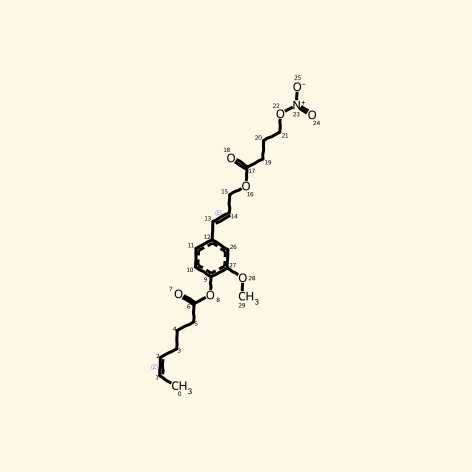 C/C=C\CCCC(=O)Oc1ccc(/C=C/COC(=O)CCCO[N+](=O)[O-])cc1OC